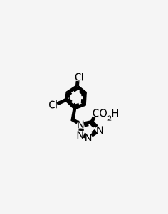 O=C(O)c1nnnn1Cc1ccc(Cl)cc1Cl